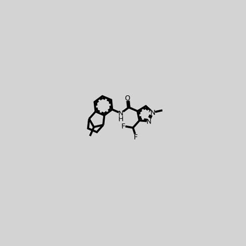 CC1C2CCC1c1c(NC(=O)c3cn(C)nc3C(F)F)cccc12